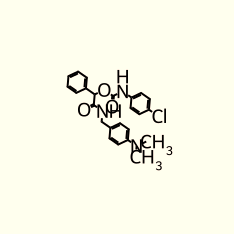 CN(C)c1ccc(CNC(=O)C(OC(=O)Nc2ccc(Cl)cc2)c2ccccc2)cc1